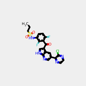 CCCS(=O)(=O)Nc1ccc(F)c(C(=O)c2c[nH]c3ncc(-c4nccnc4Cl)cc23)c1F